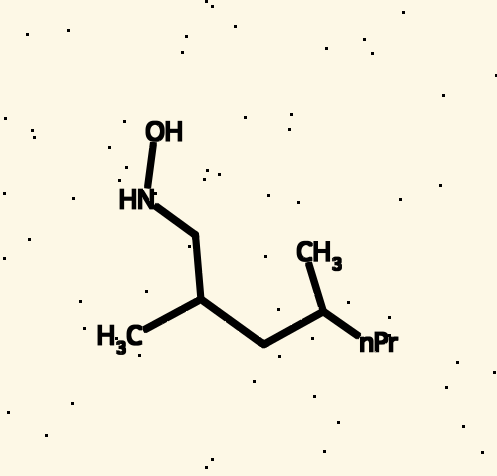 CCCC(C)CC(C)CNO